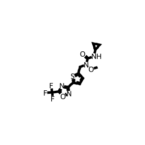 CON(Cc1ccc(-c2noc(C(F)(F)F)n2)s1)C(=O)NC1CC1